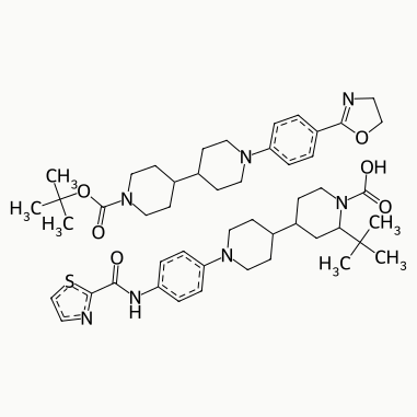 CC(C)(C)C1CC(C2CCN(c3ccc(NC(=O)c4nccs4)cc3)CC2)CCN1C(=O)O.CC(C)(C)OC(=O)N1CCC(C2CCN(c3ccc(C4=NCCO4)cc3)CC2)CC1